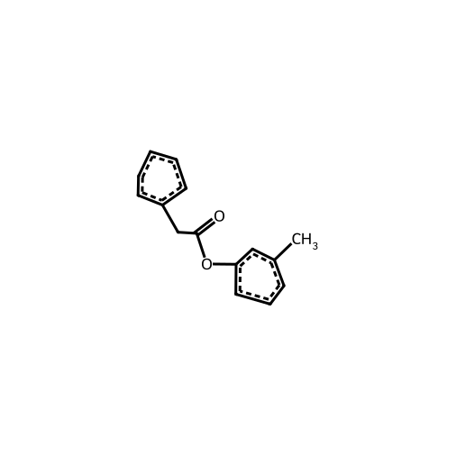 Cc1cccc(OC(=O)Cc2ccccc2)c1